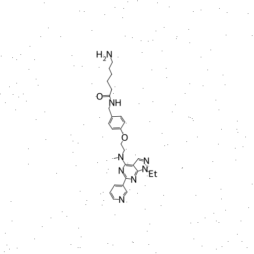 CCn1ncc2c(N(C)CCOc3ccc(CNC(=O)CCCCCN)cc3)nc(-c3cccnc3)nc21